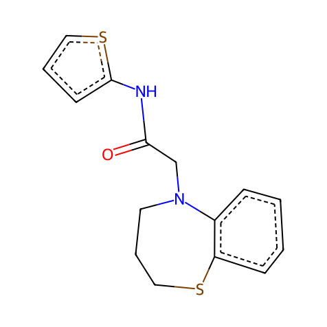 O=C(CN1CCCSc2ccccc21)Nc1cccs1